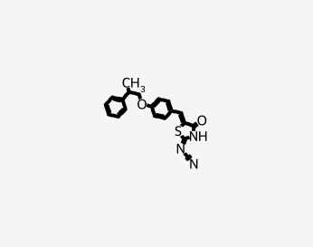 CC(COc1ccc(/C=C2\S/C(=N/C#N)NC2=O)cc1)c1ccccc1